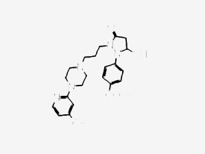 Cc1ccnc(N2CCN(CCCN3C(=O)CC(C)N3c3ccc(C(=O)O)cc3)CC2)c1